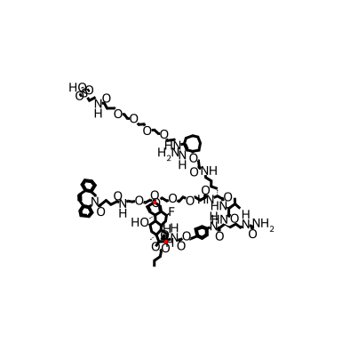 CCCC1O[C@@H]2CC3[C@@H]4C[C@H](F)C5=CC(=O)C=C[C@]5(C)C4[C@@H](O)C[C@]3(C)[C@]2(C(=O)CNC(=O)OCc2ccc(NC(=O)[C@H](CCCNC(N)=O)NC(=O)[C@@H](NC(=O)[C@@H](CCCCNC(=O)COC3CCCCC/C(NCCOCCOCCOCCOCCC(=O)NCCS(=O)(=O)O)=C\3NN)NC(=O)CCOCCOCCOCCOCCNC(=O)CCC(=O)N3Cc4ccccc4C#Cc4ccccc43)C(C)C)cc2)O1